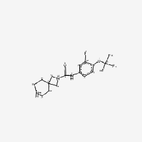 O=C(Nc1ccc(OC(F)(F)F)c(F)c1)N1CC2(CCNCC2)C1